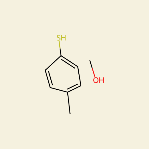 CO.Cc1ccc(S)cc1